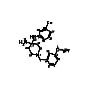 CC(C)Oc1cccc(CN2CCC(N)(Nc3cccc(F)c3)CC2)c1